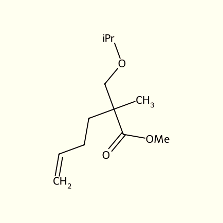 C=CCCC(C)(COC(C)C)C(=O)OC